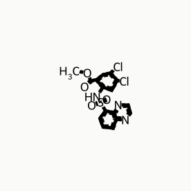 COC(=O)c1cc(Cl)c(Cl)cc1NS(=O)(=O)c1cccc2nccnc12